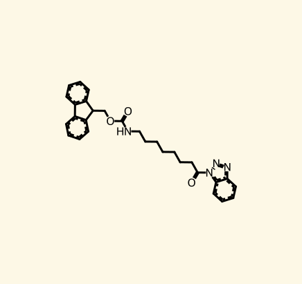 O=C(NCCCCCCCC(=O)n1nnc2ccccc21)OCC1c2ccccc2-c2ccccc21